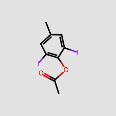 CC(=O)Oc1c(I)cc(C)cc1I